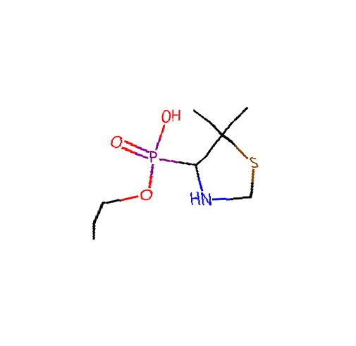 CCOP(=O)(O)C1NCSC1(C)C